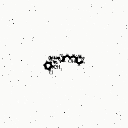 Cc1c(Cl)cccc1S(=O)(=O)Nc1nc(CC(O)Cc2cccnn2)cs1